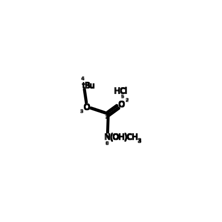 CN(O)C(=O)OC(C)(C)C.Cl